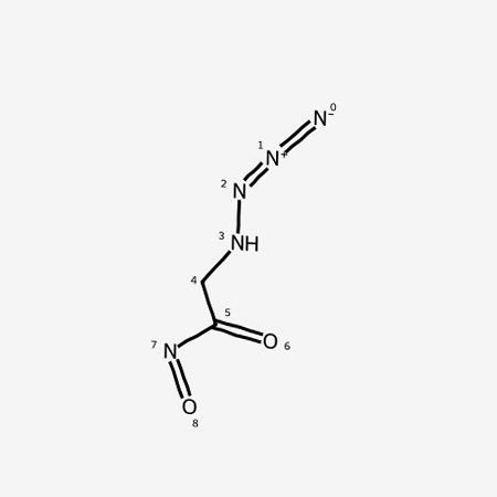 [N-]=[N+]=NNCC(=O)N=O